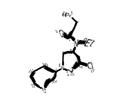 CCN(C(=O)CC(C)C)c1cn(-c2cccnc2)nc1Cl